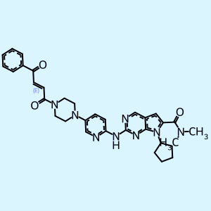 CN(C)C(=O)c1cc2cnc(Nc3ccc(N4CCN(C(=O)/C=C/C(=O)c5ccccc5)CC4)cn3)nc2n1C1CCCC1